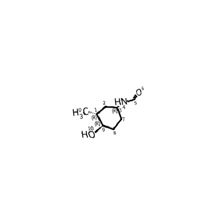 C[C@@H]1C[C@H](NC=O)CC[C@H]1O